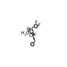 CN1C(=O)N(Cc2ccc(F)c(F)c2)Cc2nc(C#CCc3ccccc3)oc21